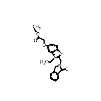 CCOC(=O)COc1ccc2nc(CN3Cc4ccccc4C3=O)n(CC)c2c1